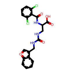 O=C(NCc1coc2ccccc12)NCC(NC(=O)c1c(Cl)cccc1Cl)C(=O)O